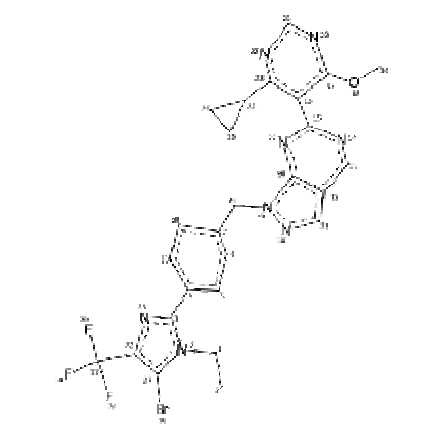 CCn1c(-c2ccc(Cn3ncc4cnc(-c5c(OC)ncnc5C5CC5)nc43)cc2)nc(C(F)(F)F)c1Br